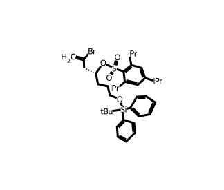 C=C(Br)C[C@@H](CCCO[Si](c1ccccc1)(c1ccccc1)C(C)(C)C)OS(=O)(=O)c1c(C(C)C)cc(C(C)C)cc1C(C)C